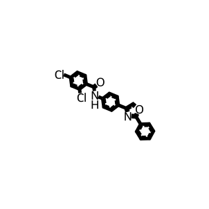 O=C(Nc1ccc(-c2coc(-c3ccccc3)n2)cc1)c1ccc(Cl)cc1Cl